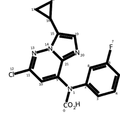 O=C(O)N(c1cccc(F)c1)c1cc(Cl)nn2c(C3CC3)cnc12